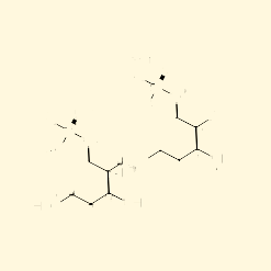 CCCC(C)C(C)COP(=O)([O-])[O-].CCCC(C)C(C)COP(=O)([O-])[O-].[Cr+4]